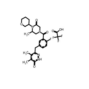 Cc1c(Cc2ccc(F)c(C(=O)N3CC(=O)N(C4CCCOC4)C(C)C3)c2)n[nH]c(=O)c1C.O=C(O)C(F)(F)F